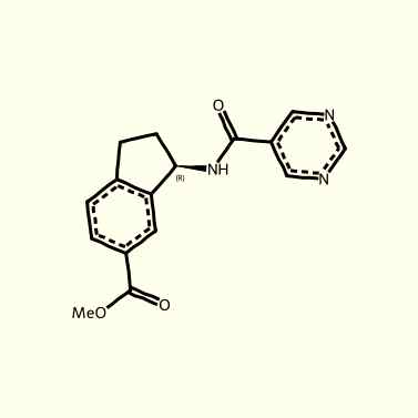 COC(=O)c1ccc2c(c1)[C@H](NC(=O)c1cncnc1)CC2